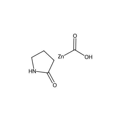 O=C1CCCN1.O=[C](O)[Zn]